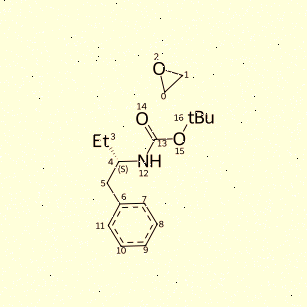 C1CO1.CC[C@@H](Cc1ccccc1)NC(=O)OC(C)(C)C